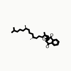 CC(=CCC12OC1(C)C(=O)c1ccccc1C2=O)CCC[C@H](C)CCC[C@H](C)CCCC(C)C